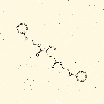 N[C@@H](CCC(=O)OCCOc1ccccc1)C(=O)OCCOc1ccccc1